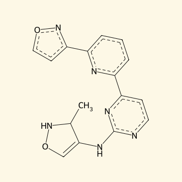 CC1NOC=C1Nc1nccc(-c2cccc(-c3ccon3)n2)n1